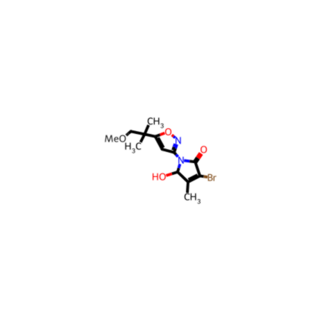 COCC(C)(C)c1cc(N2C(=O)C(Br)=C(C)C2O)no1